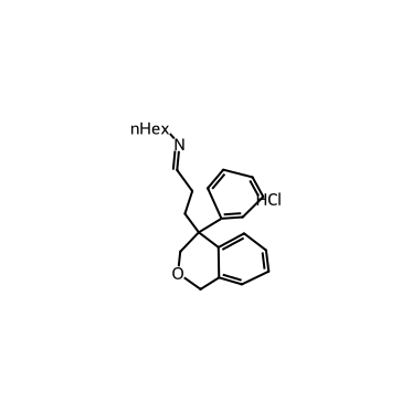 CCCCCCN=CCCC1(c2ccccc2)COCc2ccccc21.Cl